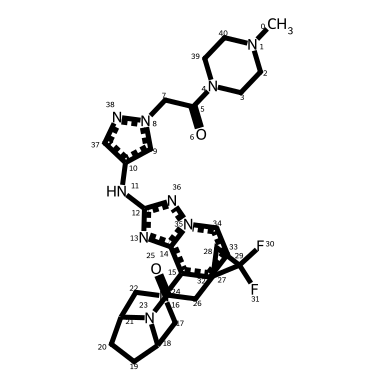 CN1CCN(C(=O)Cn2cc(Nc3nc4c(N5CC6CCC(C5)N6C(=O)CC5CC5(F)F)cccn4n3)cn2)CC1